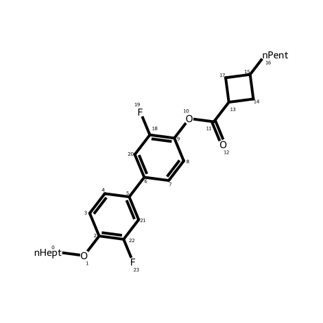 CCCCCCCOc1ccc(-c2ccc(OC(=O)C3CC(CCCCC)C3)c(F)c2)cc1F